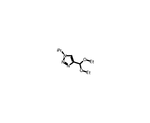 CCOC(OCC)c1cn(C(C)C)nn1